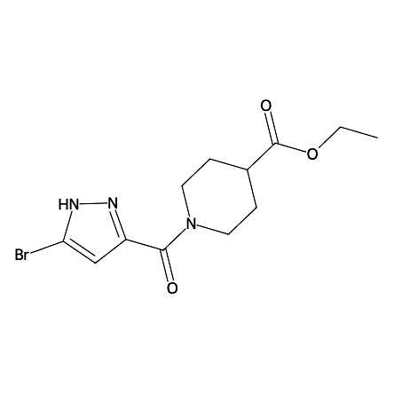 CCOC(=O)C1CCN(C(=O)c2cc(Br)[nH]n2)CC1